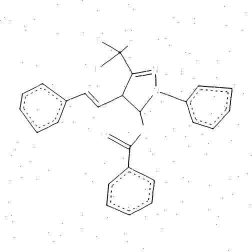 O=C(OC1C(/C=C/c2ccccc2)C(C(F)(F)F)=NN1c1ccccc1)c1ccccc1